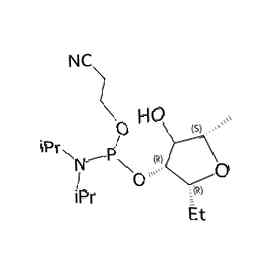 CC[C@H]1O[C@@H](C)C(O)[C@H]1OP(OCCC#N)N(C(C)C)C(C)C